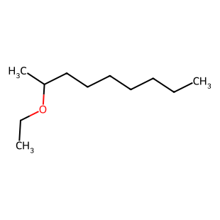 CCCCCCCC(C)OCC